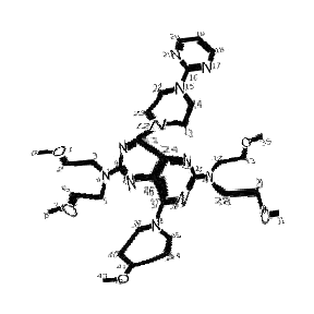 COCCN(CCOC)c1nc(N2CCN(c3ncccn3)CC2)c2nc(N(CCOC)CCOC)nc(N3CCC(OC)CC3)c2n1